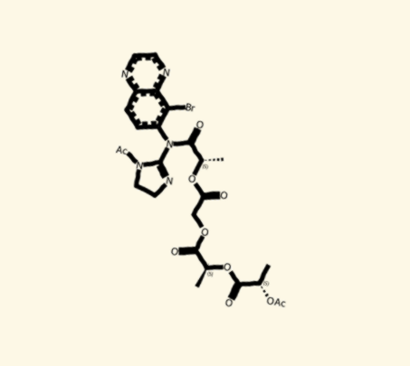 CC(=O)O[C@@H](C)C(=O)O[C@@H](C)C(=O)OCC(=O)O[C@@H](C)C(=O)N(C1=NCCN1C(C)=O)c1ccc2nccnc2c1Br